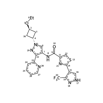 CCO[C@H]1C[C@H](n2cc(NC(=O)c3csc(-c4c[nH]nc4C(F)(F)F)n3)c(-c3ccccn3)n2)C1